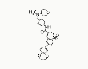 CN(Cc1ccc(NC(=O)C2=Cc3cc(-c4ccc5c(c4)OCCCO5)ccc3S(=O)(=O)CC2)cc1)C1CCOCC1